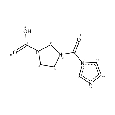 O=C(O)C1CCN(C(=O)n2ccnc2)C1